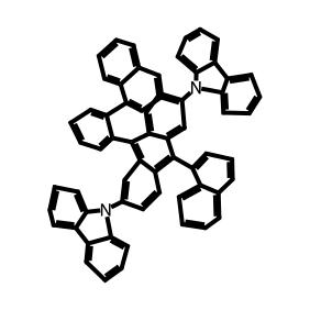 c1ccc(-c2c3cc(-n4c5ccccc5c5ccccc54)ccc3c(-c3cccc4ccccc34)c3cc(-n4c5ccccc5c5ccccc54)ccc23)c(-c2cccc3ccccc23)c1